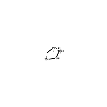 CCC[CH2][Sn][CH2]CCC.CCOC(C)=O